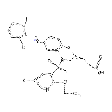 CCOc1ncc(Cl)cc1S(=O)(=O)N1C[C@H](CCC(=O)O)Oc2ccc(/C=C/c3c(F)cccc3Cl)cc21